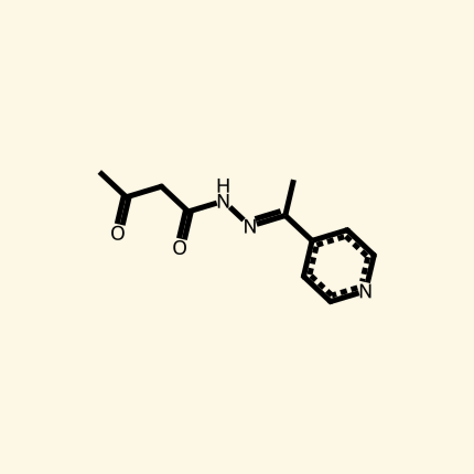 CC(=O)CC(=O)NN=C(C)c1ccncc1